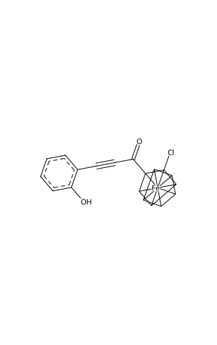 O=C(C#Cc1ccccc1O)[C]12[CH]3[CH]4[CH]5[C]1(Cl)[Fe]45321678[CH]2[CH]1[CH]6[CH]7[CH]28